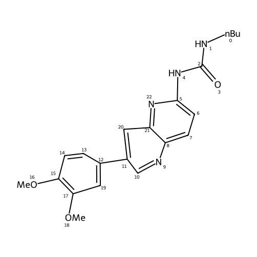 CCCCNC(=O)Nc1ccc2ncc(-c3ccc(OC)c(OC)c3)cc2n1